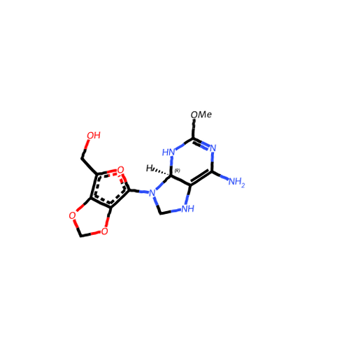 COC1=NC(N)=C2NCN(c3oc(CO)c4c3OCO4)[C@H]2N1